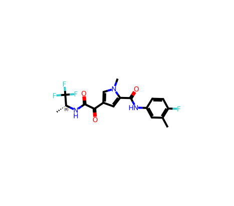 Cc1cc(NC(=O)c2cc(C(=O)C(=O)N[C@H](C)C(F)(F)F)cn2C)ccc1F